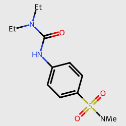 CCN(CC)C(=O)Nc1ccc(S(=O)(=O)NC)cc1